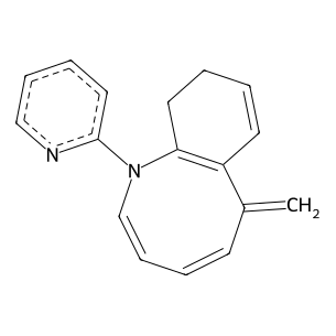 C=C1/C=C\C=C/N(c2ccccn2)C2=C1C=CCC2